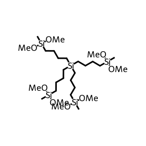 CO[Si](C)(CCCC[Si](CCCC[Si](C)(OC)OC)(CCCC[Si](C)(OC)OC)CCCC[Si](C)(OC)OC)OC